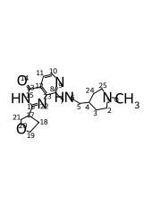 CN1CCC(CNCc2nccc3c(=O)[nH]c(C4CCOC4)nc23)CC1